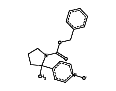 CC1(c2cc[n+]([O-])cc2)CCCN1C(=O)OCc1ccccc1